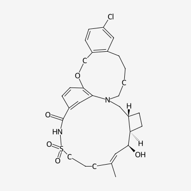 C/C1=C\[C@H](O)[C@@H]2CC[C@H]2CN2CCCCc3cc(Cl)ccc3COc3ccc(cc32)C(=O)NS(=O)(=O)CCC1